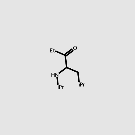 CCC(=O)C(CC(C)C)NC(C)C